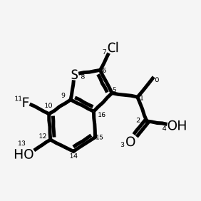 CC(C(=O)O)c1c(Cl)sc2c(F)c(O)ccc12